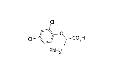 CC(Oc1ccc(Cl)cc1Cl)C(=O)O.[PbH2]